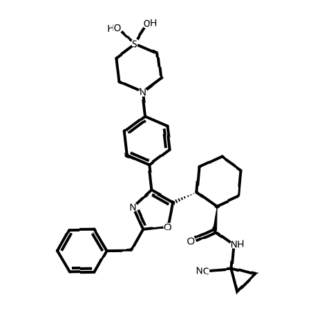 N#CC1(NC(=O)[C@@H]2CCCC[C@H]2c2oc(Cc3ccccc3)nc2-c2ccc(N3CCS(O)(O)CC3)cc2)CC1